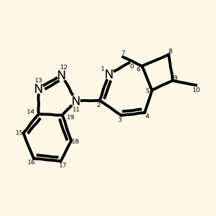 C/N=C(\C=C/C1C(C)CC1C)n1nnc2ccccc21